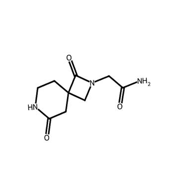 NC(=O)CN1CC2(CCNC(=O)C2)C1=O